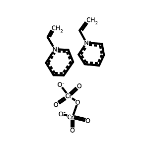 C=C[n+]1ccccc1.C=C[n+]1ccccc1.[O]=[Cr](=[O])([O-])[O][Cr](=[O])(=[O])[O-]